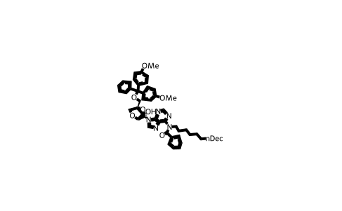 CCCCCCCCCCCCCCCCN(C(=O)c1ccccc1)c1ncnc2c1ncn2[C@@H]1O[C@@]2(COC(c3ccccc3)(c3ccc(OC)cc3)c3ccc(OC)cc3)COC1C2O